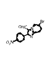 O=Cc1c(-c2ccc([N+](=O)[O-])cc2)nc2ccc(Br)cn12